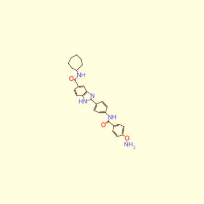 NOc1ccc(C(=O)Nc2ccc(-c3nc4cc(C(=O)NC5CCCCCC5)ccc4[nH]3)cc2)cc1